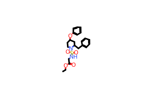 CCOC(=O)CNS(=O)(=O)N1CCC(Oc2ccccc2)CC1Cc1ccccc1